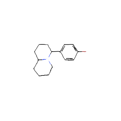 Brc1ccc(C2CCCC3CCCCN32)cc1